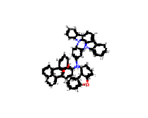 c1ccc(-c2cccc3cccc(-c4ccc(N(c5ccc6c(c5)n5c7ccccc7c7ccc8c9ccccc9n6c8c75)c5cccc6oc7ccccc7c56)cc4)c23)cc1